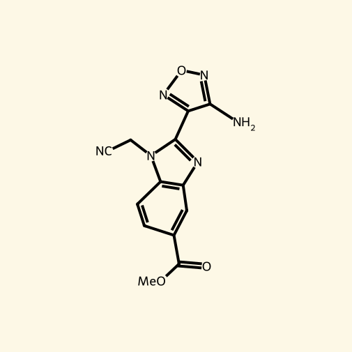 COC(=O)c1ccc2c(c1)nc(-c1nonc1N)n2CC#N